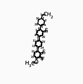 C=CC1CC=C(c2ccc(-c3ccc(-c4ccc(OC)c(F)c4F)cc3)cc2F)CC1